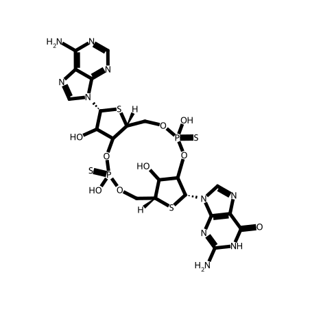 Nc1nc2c(ncn2[C@@H]2S[C@@H]3COP(O)(=S)OC4C(O)[C@H](n5cnc6c(N)ncnc65)S[C@@H]4COP(O)(=S)OC2C3O)c(=O)[nH]1